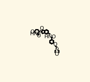 O=C1CCC(N2Cc3cc(CNC(=O)c4cccc(OCCN5CCOCC5)c4)ccc3C2=O)C(=O)N1